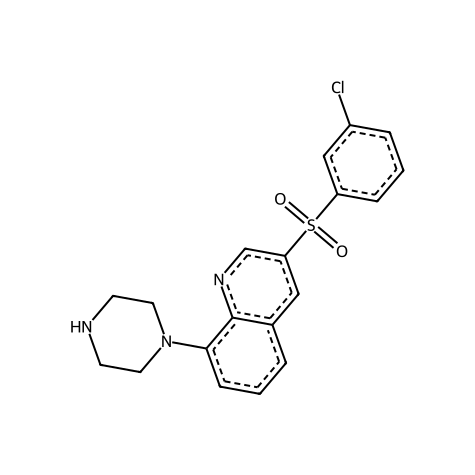 O=S(=O)(c1cccc(Cl)c1)c1cnc2c(N3CCNCC3)cccc2c1